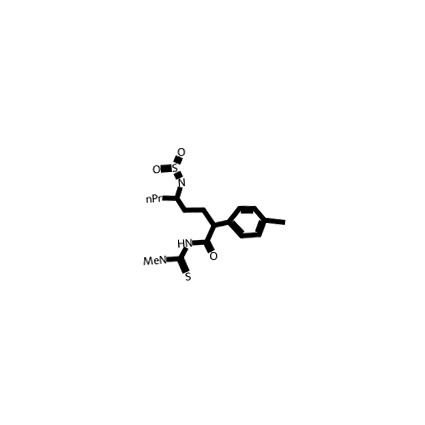 CCCC(CCC(C(=O)NC(=S)NC)c1ccc(C)cc1)N=S(=O)=O